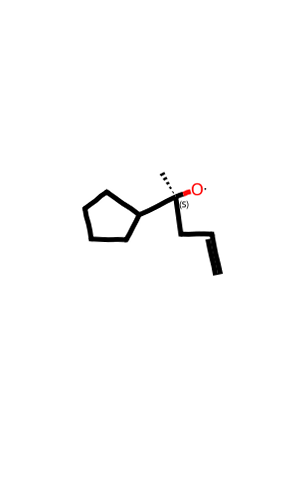 C=CC[C@](C)([O])C1CCCC1